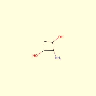 NC1C(O)CC1O